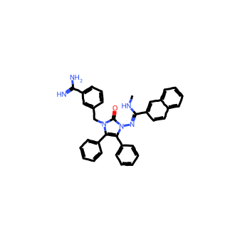 CNC(=Nn1c(-c2ccccc2)c(-c2ccccc2)n(Cc2cccc(C(=N)N)c2)c1=O)c1ccc2ccccc2c1